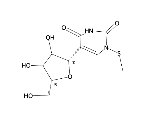 CSn1cc([C@@H]2O[C@H](CO)C(O)C2O)c(=O)[nH]c1=O